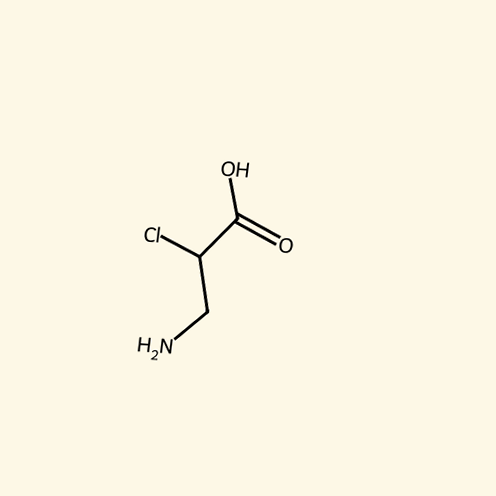 NCC(Cl)C(=O)O